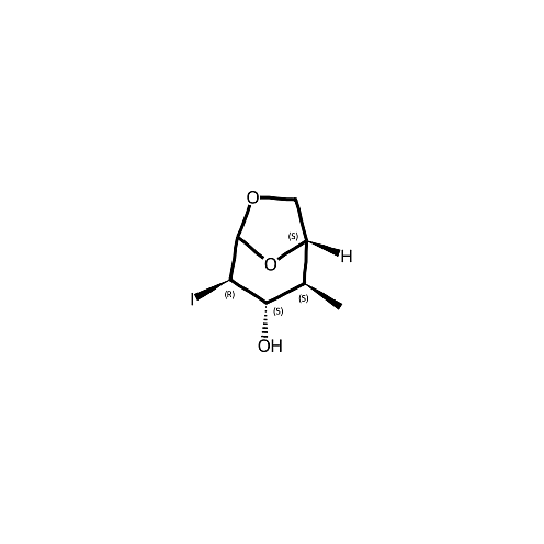 C[C@H]1[C@H](O)[C@@H](I)C2OC[C@H]1O2